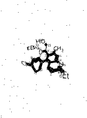 CCc1ccc2c(-c3ccc(Cl)cc3)c([C@@H](CO)OC(C)(C)C)c(C)cc2n1